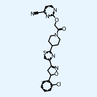 N#Cc1ccnc(OCC(=O)N2CCC(c3nc(C4=NOC(c5[c]cccc5Cl)C4)cs3)CC2)n1